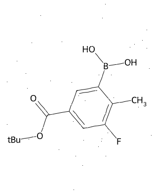 Cc1c(F)cc(C(=O)OC(C)(C)C)cc1B(O)O